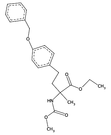 CCOC(=O)C(C)(CCc1ccc(OCc2ccccc2)cc1)NC(=O)OC